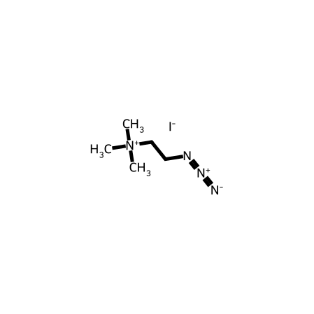 C[N+](C)(C)CCN=[N+]=[N-].[I-]